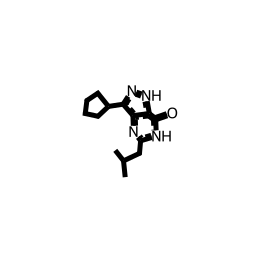 CC(C)Cc1nc2c(C3CCCC3)n[nH]c2c(=O)[nH]1